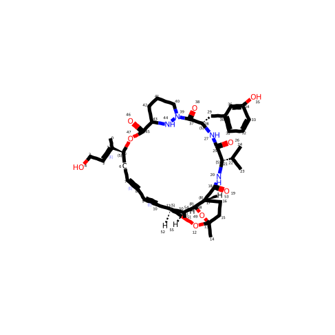 C/C(=C\CO)[C@@H]1C/C=C/C=C/[C@@H]2OC3(C)CC[C@@H](C(=O)N[C@@H](C(C)C)C(=O)N[C@@H](Cc4cccc(O)c4)C(=O)N4CCCC(N4)C(=O)O1)[C@H](O3)[C@H]2C